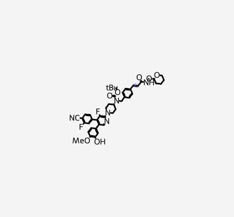 COc1ccc(-c2cnc(N3CCC(N(Cc4ccc(/C=C/C(=O)NOC5CCCCO5)cc4)C(=O)OC(C)(C)C)CC3)c(F)c2-c2ccc(C#N)c(F)c2)cc1O